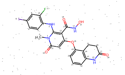 Cn1c(Nc2ccc(I)cc2F)c(C(=O)NO)c(Oc2cccc3c2CCC(=O)N3)cc1=O